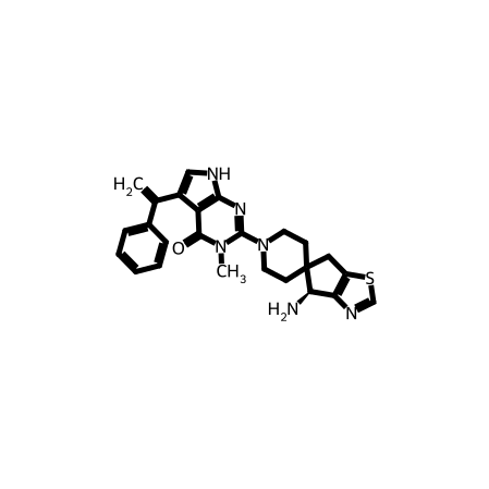 C=C(c1ccccc1)c1c[nH]c2nc(N3CCC4(CC3)Cc3scnc3[C@H]4N)n(C)c(=O)c12